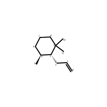 C=CC[C@@H]1[C@@H](C)CCCC1(C)C